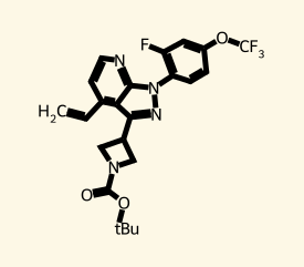 C=Cc1ccnc2c1c(C1CN(C(=O)OC(C)(C)C)C1)nn2-c1ccc(OC(F)(F)F)cc1F